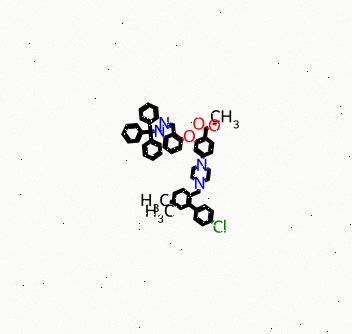 COC(=O)c1ccc(N2CCN(CC3=C(c4ccc(Cl)cc4)CC(C)(C)CC3)CC2)cc1Oc1cccc2c1cnn2C(c1ccccc1)(c1ccccc1)c1ccccc1